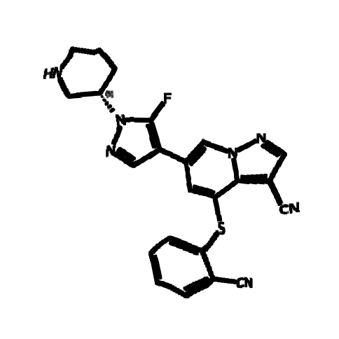 N#Cc1ccccc1Sc1cc(-c2cnn([C@H]3CCCNC3)c2F)cn2ncc(C#N)c12